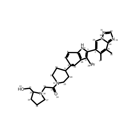 Cc1c(-c2[nH]c3ccc(C4CCN(C(=O)CN5CCCC5CO)CC4)cc3c2C(C)C)cn2ncnc2c1C